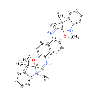 CN1c2ccccc2C(C)(C)C12C=Nc1c(ccc3c4c(ccc13)OC1(C=N4)N(C)c3ccccc3C1(C)C)O2